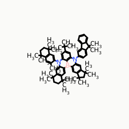 Cc1cc2c(cc1N1c3cc4c(cc3B3c5cc6c(cc5N(c5ccc7c(c5)-c5ccccc5C7(C)C)c5cc(C(C)(C)C)cc1c53)C(C)(C)CC6(C)C)C(C)(C)CCC4(C)C)C(C)(C)CCC2(C)C